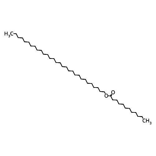 CCCCCCCCCCCCCCCCCCCCCCCCCCCCCCOC(=O)CCCCCCCCCCC